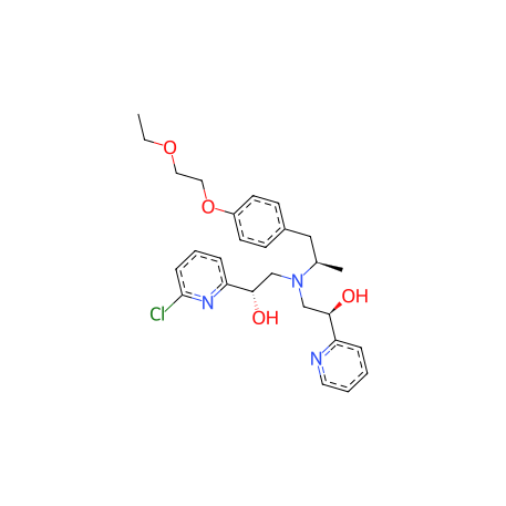 CCOCCOc1ccc(C[C@@H](C)N(C[C@@H](O)c2ccccn2)C[C@H](O)c2cccc(Cl)n2)cc1